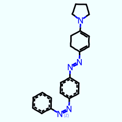 C1=C(N=Nc2ccc(/N=N\c3ccccc3)cc2)CCC(N2CCCC2)=C1